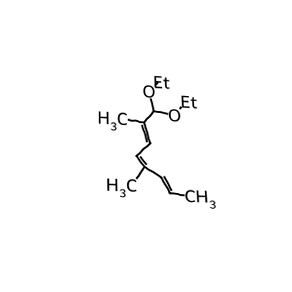 CC=C/C(C)=C\C=C(/C)C(OCC)OCC